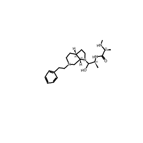 CN[C@@H](C)C(=O)N[C@@H](C)C(O)N1CC[C@H]2CCN(CCc3ccccc3)C[C@H]21